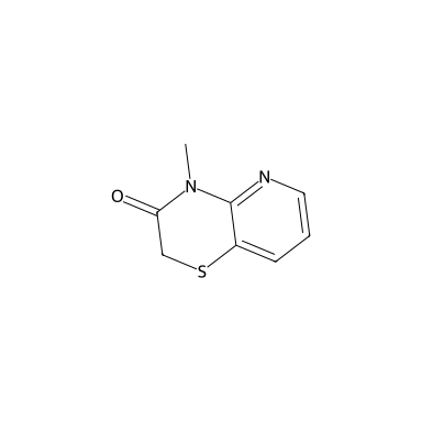 CN1C(=O)CSc2cccnc21